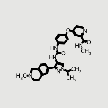 CNC(=O)c1cc(Oc2ccc(NC(=O)Nc3cn(C(C)C)nc3-c3ccc4c(c3)CCN(C)C4)cc2)ccn1